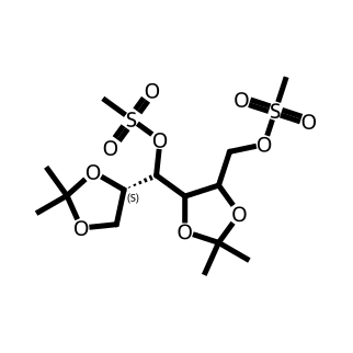 CC1(C)OC(COS(C)(=O)=O)C(C(OS(C)(=O)=O)[C@@H]2COC(C)(C)O2)O1